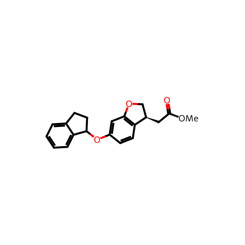 COC(=O)C[C@@H]1COc2cc(OC3CCc4ccccc43)ccc21